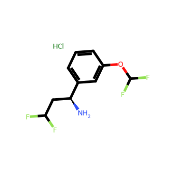 Cl.N[C@@H](CC(F)F)c1cccc(OC(F)F)c1